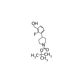 CC(C)(C)OC(=O)N1CCC(c2cccc(CO)c2F)CC1